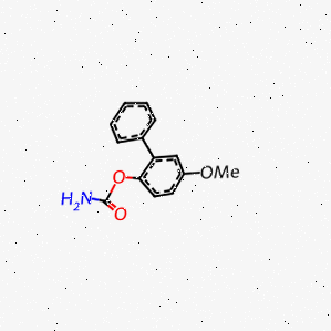 COc1ccc(OC(N)=O)c(-c2ccccc2)c1